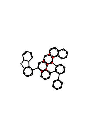 C1=CC2Sc3cccc(-c4ccc(N(c5cccc(-c6ccccc6)c5-c5ccccc5-c5ccccc5)c5cccc6ccccc56)cc4)c3C2C=C1